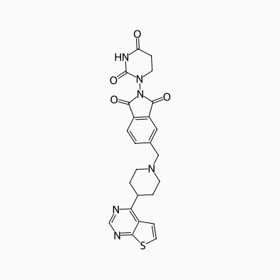 O=C1CCN(N2C(=O)c3ccc(CN4CCC(c5ncnc6sccc56)CC4)cc3C2=O)C(=O)N1